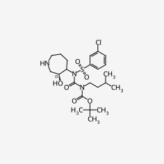 CC(C)CCN(C(=O)OC(C)(C)C)C(=O)N(C1CCCNC[C@@H]1O)S(=O)(=O)c1cccc(Cl)c1